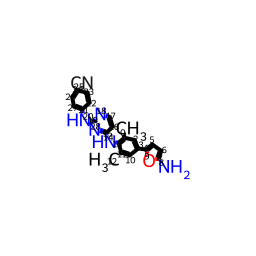 Cc1cc(-c2ccc(N)o2)cc(C)c1Nc1ccnc(Nc2ccc(C#N)cc2)n1